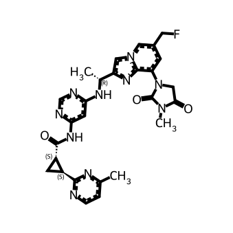 Cc1ccnc([C@H]2C[C@@H]2C(=O)Nc2cc(N[C@H](C)c3cn4cc(CF)cc(N5CC(=O)N(C)C5=O)c4n3)ncn2)n1